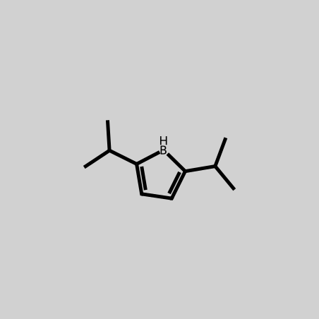 CC(C)C1=CC=C(C(C)C)B1